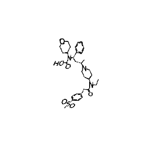 CCN(C(=O)Cc1ccc(S(C)(=O)=O)cc1)C1CCN(C(C)CC(c2ccccc2)N(C(=O)O)C2CCOCC2)CC1